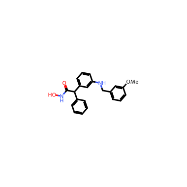 COc1cccc(CNc2cccc(C(C(=O)NO)c3ccccc3)c2)c1